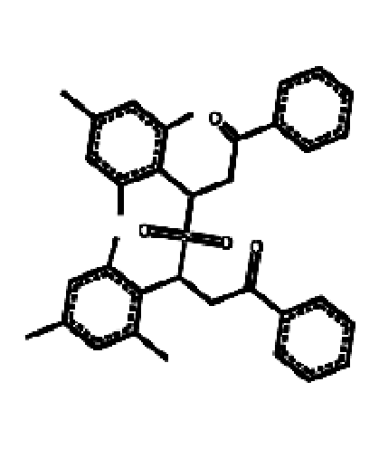 Cc1cc(C)c(C(CC(=O)c2ccccc2)S(=O)(=O)C(CC(=O)c2ccccc2)c2c(C)cc(C)cc2C)c(C)c1